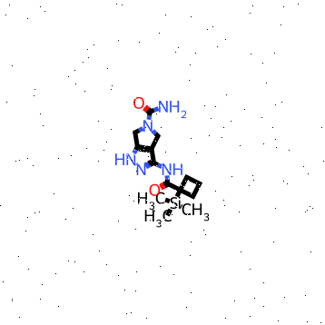 C[Si](C)(C)C1(C(=O)Nc2n[nH]c3c2CN(C(N)=O)C3)CCC1